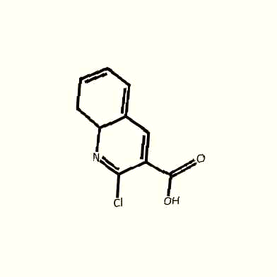 O=C(O)C1=CC2=CC=CCC2N=C1Cl